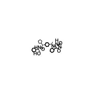 CC(c1ccc(C(C(=O)NC(CO)c2ccccc2)C2CCCC2)cc1)n1c2ccccc2c2c(=O)n(C)c(=O)[nH]c21